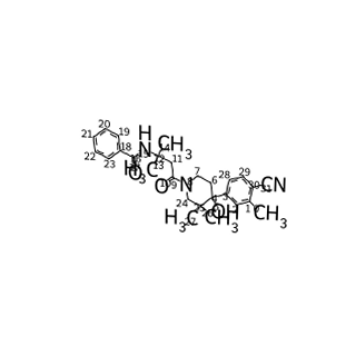 Cc1cc(C2(O)CCN(C(=O)CC(C)(C)NC(=O)c3ccccc3)CC2(C)C)ccc1C#N